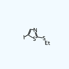 CCSc1ncc(I)s1